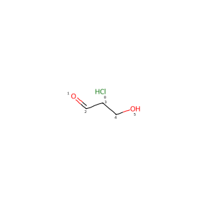 Cl.O=CCCO